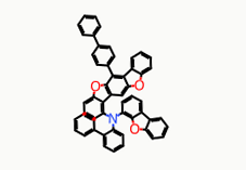 c1ccc(-c2ccc(-c3c4oc5cccc(N(c6ccccc6-c6ccccc6)c6cccc7c6oc6ccccc67)c5c4cc4oc5ccccc5c34)cc2)cc1